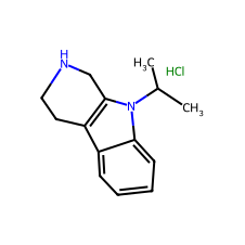 CC(C)n1c2c(c3ccccc31)CCNC2.Cl